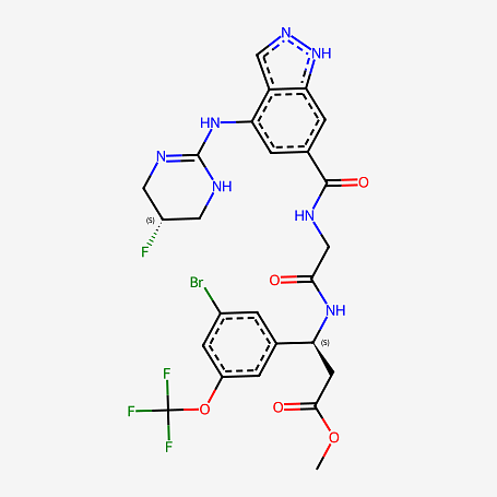 COC(=O)C[C@H](NC(=O)CNC(=O)c1cc(NC2=NC[C@@H](F)CN2)c2cn[nH]c2c1)c1cc(Br)cc(OC(F)(F)F)c1